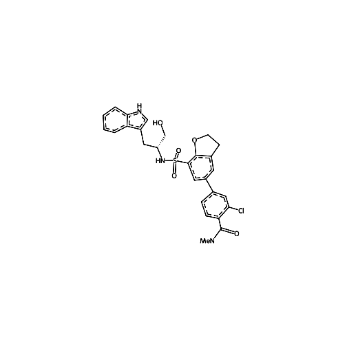 CNC(=O)c1ccc(-c2cc3c(c(S(=O)(=O)N[C@@H](CO)Cc4c[nH]c5ccccc45)c2)OCC3)cc1Cl